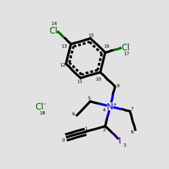 C#CC(I)[N+](CC)(CC)Cc1ccc(Cl)cc1Cl.[Cl-]